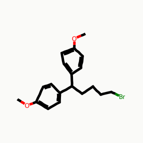 COc1ccc(C(CCCCBr)c2ccc(OC)cc2)cc1